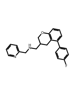 Fc1ccc(-c2cccc3c2CC(CNCc2ccccn2)CO3)cc1